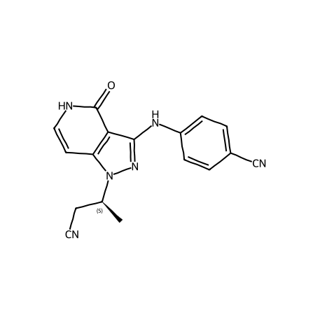 C[C@@H](CC#N)n1nc(Nc2ccc(C#N)cc2)c2c(=O)[nH]ccc21